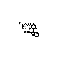 CCCCc1oc2ccccc2c1-c1c(C)cc(I)c(OCCN(CC)CC)c1I